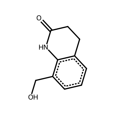 O=C1CCc2cccc(CO)c2N1